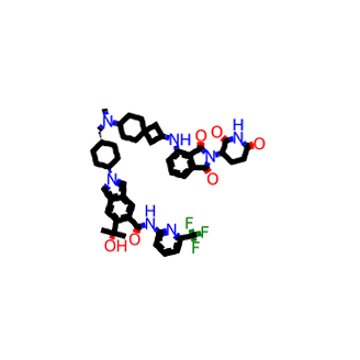 CN(C[C@H]1CC[C@H](n2cc3cc(C(=O)Nc4cccc(C(F)(F)F)n4)c(C(C)(C)O)cc3c2)CC1)C1CCC2(CC1)CC(Nc1cccc3c1C(=O)N(C1CCC(=O)NC1=O)C3=O)C2